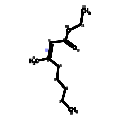 CCCCC/C(C)=C\C(=O)OCC